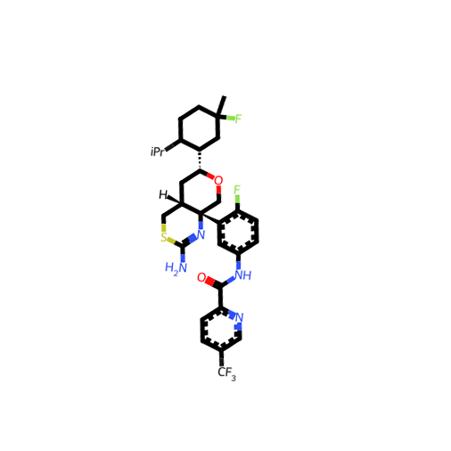 CC(C)C1CCC(C)(F)CC1[C@H]1C[C@H]2CSC(N)=N[C@@]2(c2cc(NC(=O)c3ccc(C(F)(F)F)cn3)ccc2F)CO1